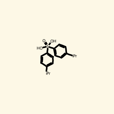 CC(C)c1ccc(S(=O)(O)(O)c2ccc(C(C)C)cc2)cc1